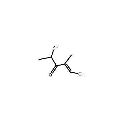 C/C(=C\O)C(=O)C(C)S